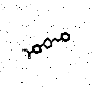 O=C(O)c1ccc(N2CCN(CCc3ccccc3)CC2)cc1